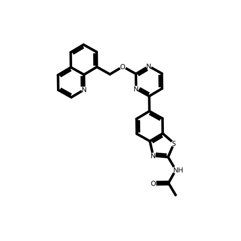 CC(=O)Nc1nc2ccc(-c3ccnc(OCc4cccc5cccnc45)n3)cc2s1